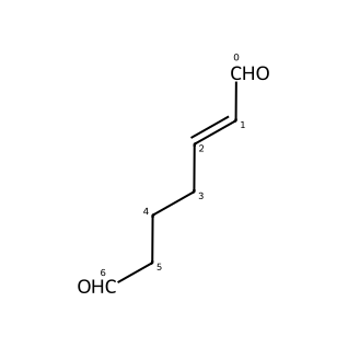 O=CC=CCCCC=O